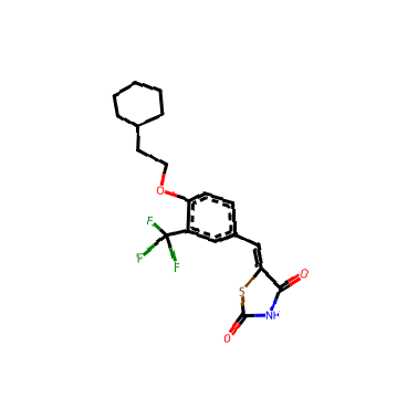 O=C1NC(=O)C(=Cc2ccc(OCCC3CCCCC3)c(C(F)(F)F)c2)S1